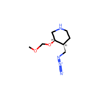 COCO[C@H]1CNCC[C@@H]1CN=[N+]=[N-]